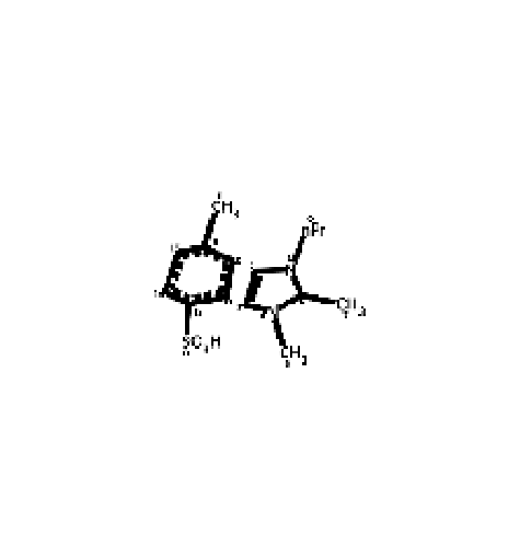 CCCN1C=CN(C)C1C.Cc1ccc(S(=O)(=O)O)cc1